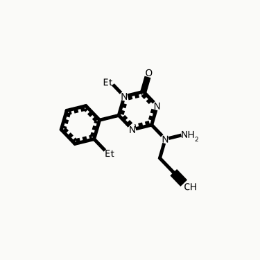 C#CCN(N)c1nc(-c2ccccc2CC)n(CC)c(=O)n1